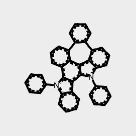 c1ccc(-n2c3ccccc3c3c2c2cccc4c2c2c5c(cccc5n(-c5ccccc5)c23)-c2ccccc2-4)cc1